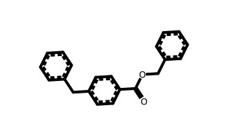 O=C(OCc1ccccc1)c1ccc(Cc2ccccc2)cc1